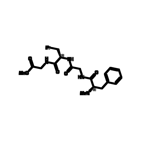 CN[C@H](Cc1ccccc1)C(=O)NCC(=O)N[C@H](CC(C)C)C(=O)NCC(=O)OC